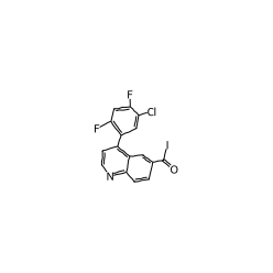 O=C(I)c1ccc2nccc(-c3cc(Cl)c(F)cc3F)c2c1